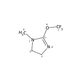 CN1[C]CN=C1OC(F)(F)F